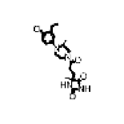 CCc1cc(N2CCN(C(=O)CC[C@@]3(C)NC(=O)NC3=O)C[C@@H]2C)ccc1Cl